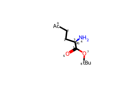 CC(=O)CC[C@@H](N)C(=O)OC(C)(C)C